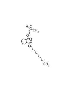 CCCCCCCCCCOC(=O)C1CCCCC1C(=O)OCCC(C)C